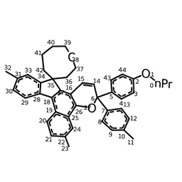 CCCOc1ccc(C2(c3ccc(C)cc3)C=Cc3c4c(c5ccc(C)cc5c3O2)-c2ccc(C)cc2C42CCCCCCC2)cc1